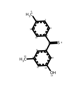 Cc1ccc(C(=S)c2cc(C)cc(O)c2)cc1